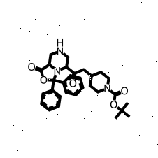 CC(C)(C)OC(=O)N1CCC(CC(=O)C2CNCC3C(=O)OC(c4ccccc4)(c4ccccc4)N23)CC1